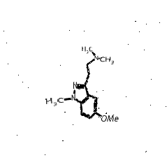 COc1ccc2c(c1)c(CCN(C)C)nn2C